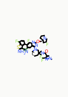 Cn1cc(C(=O)N2CC3(CCCCN(c4nc(OC[C@@]56CCCN5C[C@H](F)C6)nc5c(F)c(-c6ccc(F)c7sc(N)c(C#N)c67)c(Cl)cc45)C3)C2)c(C(F)F)n1